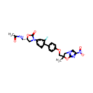 CC(=O)NC[C@H]1CN(c2ccc(-c3ccc(OCC4(C)Cn5cc([N+](=O)[O-])nc5O4)cc3)c(F)c2)C(=O)O1